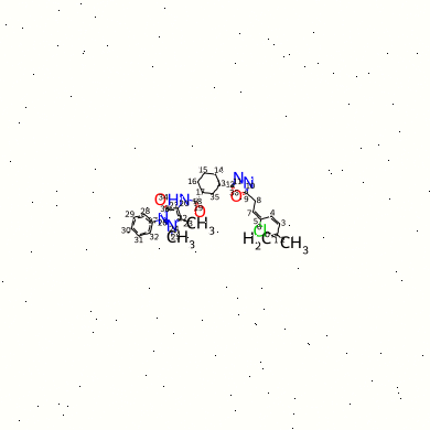 C=C(C)/C=C\C(Cl)=C/Cc1nnc([C@H]2CCC[C@@H](C(=O)Nc3c(C)n(C)n(-c4ccccc4)c3=O)C2)o1